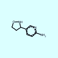 Nc1ccc(C2CCON2)cn1